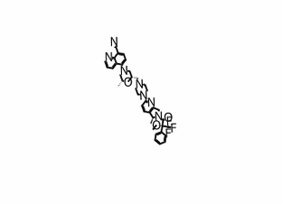 CO[C@@](C(=O)N1Cc2nc(N3CCN(C[C@H]4CN(c5ccc(C#N)c6ncccc56)C[C@@H](C)O4)CC3)ccc2[C@@H]1C)(c1ccccc1)C(F)(F)F